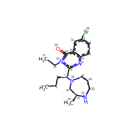 CCC[C@@H](c1nc2ccc(Br)cc2c(=O)n1CC)N1CCCN[C@@H](C)C1